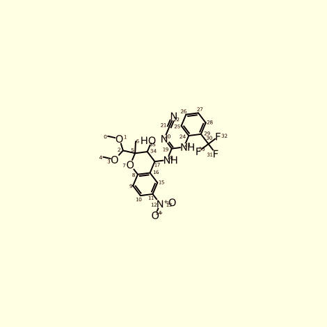 COC(OC)C1(C)Oc2ccc([N+](=O)[O-])cc2C(NC(=NC#N)Nc2ccccc2C(F)(F)F)C1O